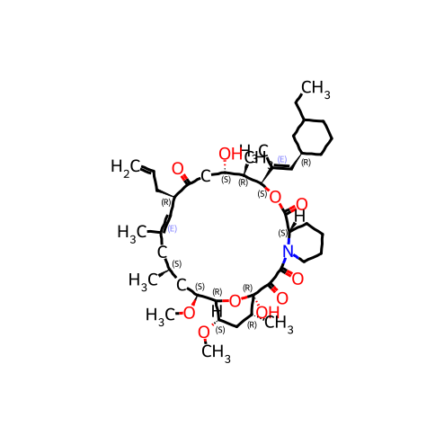 C=CC[C@@H]1/C=C(\C)C[C@H](C)C[C@H](OC)[C@H]2O[C@@](O)(C(=O)C(=O)N3CCCC[C@H]3C(=O)O[C@H](/C(C)=C/[C@@H]3CCCC(CC)C3)[C@H](C)[C@@H](O)CC1=O)[C@H](C)C[C@@H]2OC